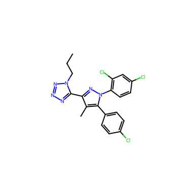 CCCn1nnnc1-c1nn(-c2ccc(Cl)cc2Cl)c(-c2ccc(Cl)cc2)c1C